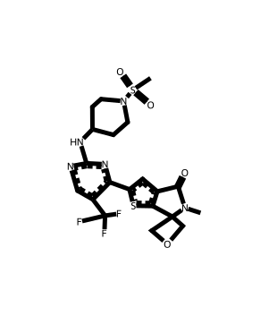 CN1C(=O)c2cc(-c3nc(NC4CCN(S(C)(=O)=O)CC4)ncc3C(F)(F)F)sc2C12COC2